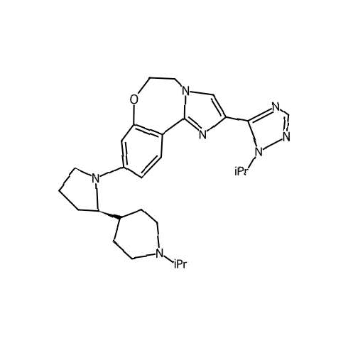 CC(C)N1CCC([C@H]2CCCN2c2ccc3c(c2)OCCn2cc(-c4ncnn4C(C)C)nc2-3)CC1